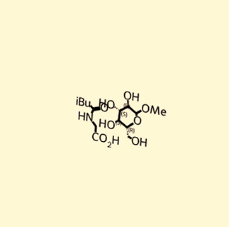 CCC(C)C(=O)NCC(=O)O.COC1O[C@H](CO)[C@@H](O)[C@H](O)[C@H]1O